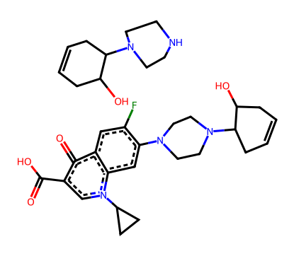 O=C(O)c1cn(C2CC2)c2cc(N3CCN(C4CC=CCC4O)CC3)c(F)cc2c1=O.OC1CC=CCC1N1CCNCC1